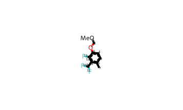 COCOc1ccc(C)c(C(F)F)c1F